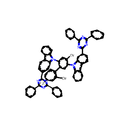 N#Cc1cc(C(F)(F)F)ccc1-c1cc(-n2c3ccccc3c3ccc(-c4nc(-c5ccccc5)nc(-c5ccccc5)n4)cc32)c(C#N)cc1-n1c2ccccc2c2ccc(-c3nc(-c4ccccc4)nc(-c4ccccc4)n3)cc21